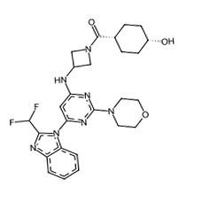 O=C([C@H]1CC[C@@H](O)CC1)N1CC(Nc2cc(-n3c(C(F)F)nc4ccccc43)nc(N3CCOCC3)n2)C1